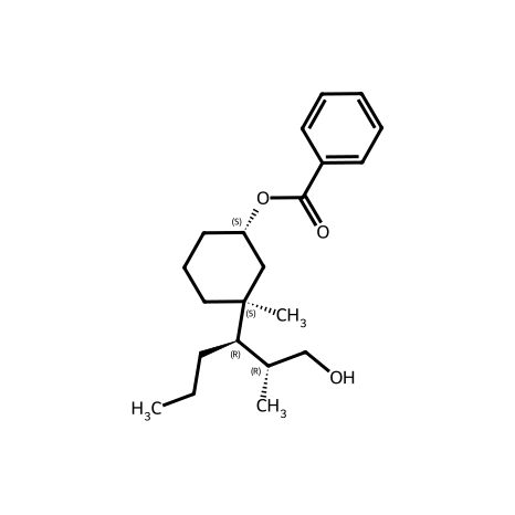 CCC[C@H]([C@@H](C)CO)[C@@]1(C)CCC[C@H](OC(=O)c2ccccc2)C1